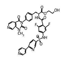 Cn1c(=O)n(-c2ccc(C[C@H](NC(=O)c3c(F)cc(NS(=O)(=O)c4ccc(-c5ccncc5)nc4)cc3F)C(=O)OCCO)cc2)c(=O)c2ccncc21